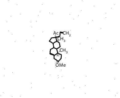 C=CC[C@]1(C(C)=O)CCC2C3CC=C4C[C@@H](OC)CC[C@]4(C)C3CC[C@@]21C